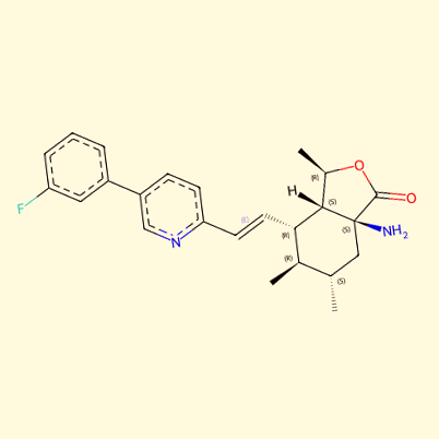 C[C@H]1[C@H](/C=C/c2ccc(-c3cccc(F)c3)cn2)[C@@H]2[C@@H](C)OC(=O)[C@]2(N)C[C@@H]1C